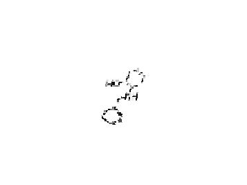 OC1=CC=CCC1NCc1ccccc1